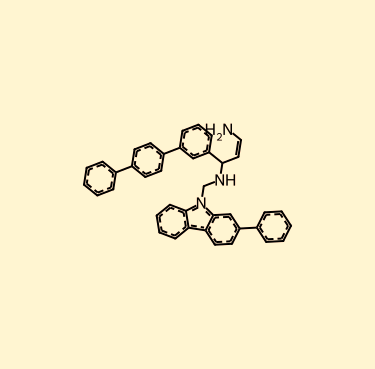 N/C=C\C(NCn1c2ccccc2c2ccc(-c3ccccc3)cc21)c1cccc(-c2ccc(-c3ccccc3)cc2)c1